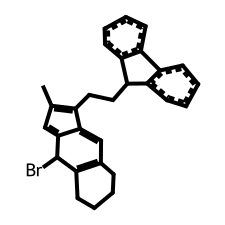 CC1=C(CCC2c3ccccc3-c3ccccc32)C2=CC3=C(CCCC3)C(Br)C2=C1